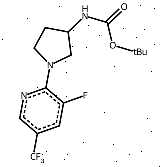 CC(C)(C)OC(=O)NC1CCN(c2ncc(C(F)(F)F)cc2F)C1